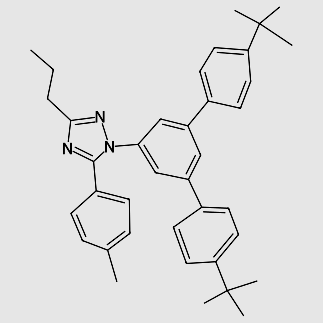 CCCc1nc(-c2ccc(C)cc2)n(-c2cc(-c3ccc(C(C)(C)C)cc3)cc(-c3ccc(C(C)(C)C)cc3)c2)n1